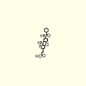 O=C(O)C=Cc1cnc(Nc2cccc(NC(=O)C3CCCCC3)c2)c(Cl)c1